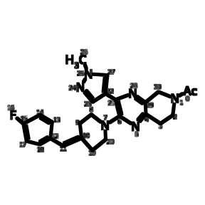 CC(=O)N1CCc2nc(N3CCC(=Cc4ccc(F)cc4)CC3)c(-c3cnn(C)c3)nc2C1